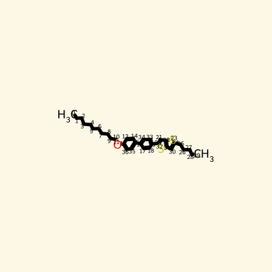 CCCCCCCCCCCOc1ccc(-c2ccc(-c3cc4sc(CCCCC)cc4s3)cc2)cc1